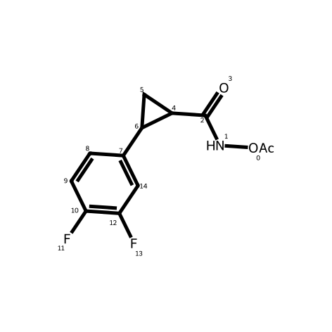 CC(=O)ONC(=O)C1CC1c1ccc(F)c(F)c1